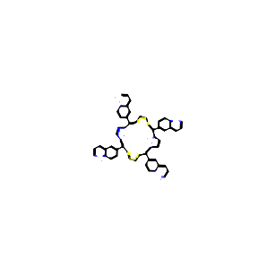 C1=Cc2nc1c(-c1ccc3ncccc3c1)c1ccc(s1)c(-c1ccc3ncccc3c1)c1nc(c(-c3ccc4ncccc4c3)c3ccc(s3)c2-c2ccc3ncccc3c2)C=C1